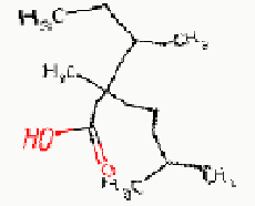 CCC(C)C(C)(CC(C)C)C(=O)O